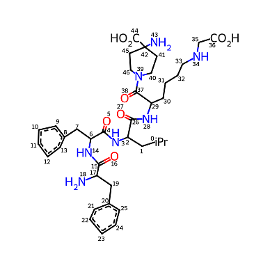 CC(C)CC(NC(=O)C(Cc1ccccc1)NC(=O)C(N)Cc1ccccc1)C(=O)NC(CCCCNCC(=O)O)C(=O)N1CCC(N)(C(=O)O)CC1